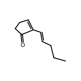 CCCC=CC1=CCCC1=O